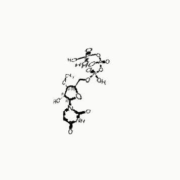 CO[C@H]1[C@@H](O)[C@H](n2ccc(=O)[nH]c2=O)O[C@@H]1COP(=O)(O)OP(=O)(O)OP(=O)(O)O